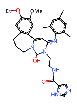 CCOc1cc2c(cc1OC)C1=C/C(=N\c3c(C)cc(C)cc3C)N(CCNC(=O)c3cnc[nH]3)C(O)N1CCC2